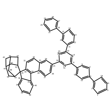 c1ccc(-c2ccc(-c3nc(-c4cccc(-c5ccccc5)c4)nc(-c4ccc5c6c(ccc5c4)C4(c5ccccc5-6)C5CC6CC(C5)CC4C6)n3)cc2)cc1